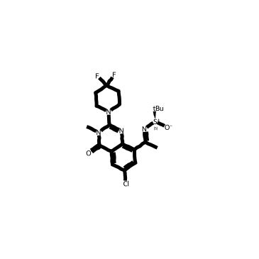 CC(=N[S@+]([O-])C(C)(C)C)c1cc(Cl)cc2c(=O)n(C)c(N3CCC(F)(F)CC3)nc12